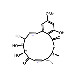 COc1cc(O)c2c(c1)/C=C/C(O)[C@H](O)[C@H](O)C(=O)/C=C\[C@@H](C)[C@H](C)OC2=O